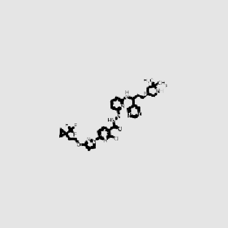 CC1(C)C[C@H](CCC(Nc2cccc(SNC(=O)c3ccc(-n4ccc(OCCC5(C(F)(F)F)CC5)n4)nc3Cl)n2)c2cncnc2)CN1